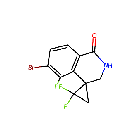 O=C1NCC2(CC2(F)F)c2c1ccc(Br)c2F